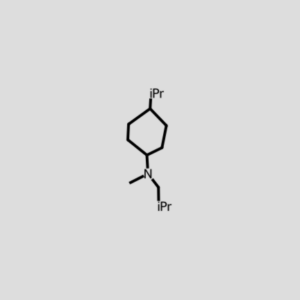 CC(C)CN(C)C1CCC(C(C)C)CC1